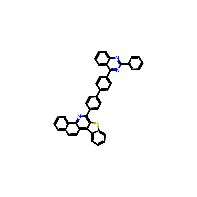 c1ccc(-c2nc(-c3ccc(-c4ccc(-c5nc6c7ccccc7ccc6c6c5sc5ccccc56)cc4)cc3)c3ccccc3n2)cc1